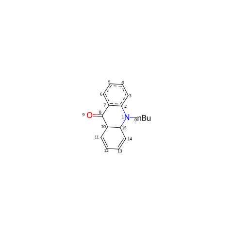 CCCCN1c2ccccc2C(=O)C2C=CC=CC21